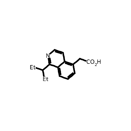 CCC(CC)c1nccc2c(CC(=O)O)cccc12